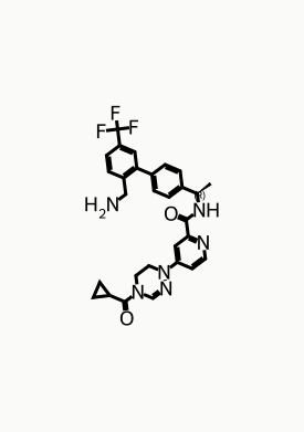 C[C@@H](NC(=O)c1cc(N2CCN(C(=O)C3CC3)C=N2)ccn1)c1ccc(-c2cc(C(F)(F)F)ccc2CN)cc1